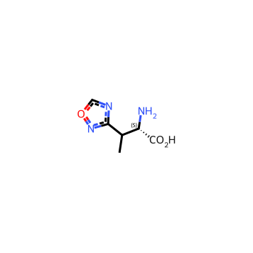 CC(c1ncon1)[C@H](N)C(=O)O